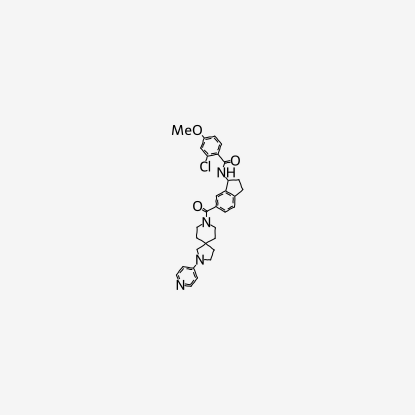 COc1ccc(C(=O)NC2CCc3ccc(C(=O)N4CCC5(CC4)CCN(c4ccncc4)C5)cc32)c(Cl)c1